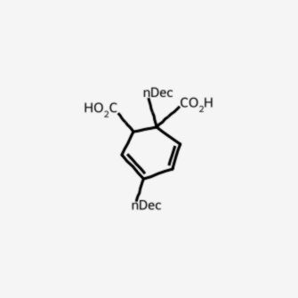 CCCCCCCCCCC1=CC(C(=O)O)C(CCCCCCCCCC)(C(=O)O)C=C1